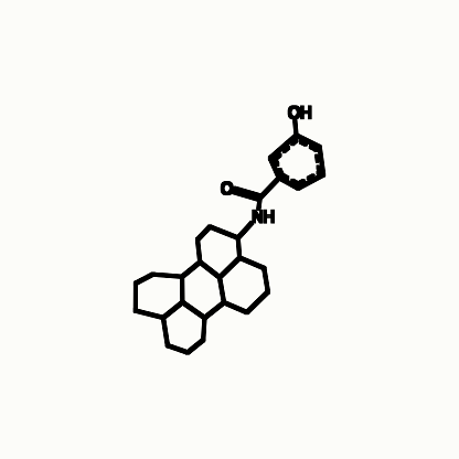 O=C(NC1CCC2C3CCCC4CCCC(C5CCCC1C52)C43)c1cccc(O)c1